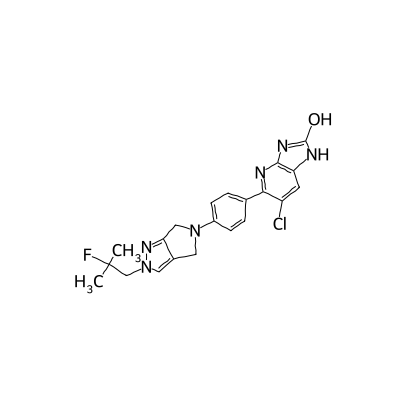 CC(C)(F)Cn1cc2c(n1)CN(c1ccc(-c3nc4nc(O)[nH]c4cc3Cl)cc1)C2